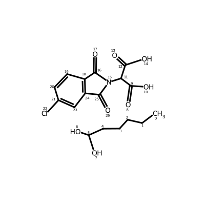 CCCCCC(O)O.O=C(O)C(C(=O)O)N1C(=O)c2ccc(Cl)cc2C1=O